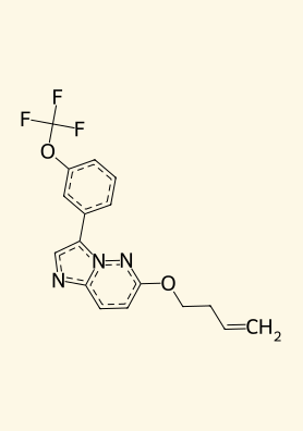 C=CCCOc1ccc2ncc(-c3cccc(OC(F)(F)F)c3)n2n1